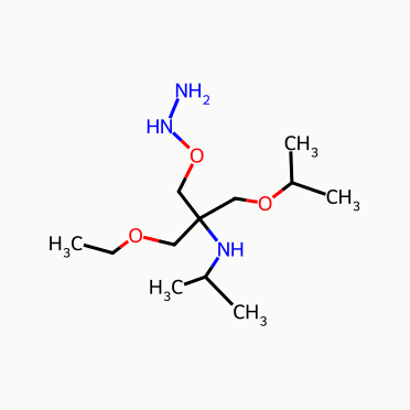 CCOCC(CONN)(COC(C)C)NC(C)C